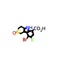 O=C(O)c1cc(F)c(Br)c2c3c([nH]c12)CC[S+]([O-])C3